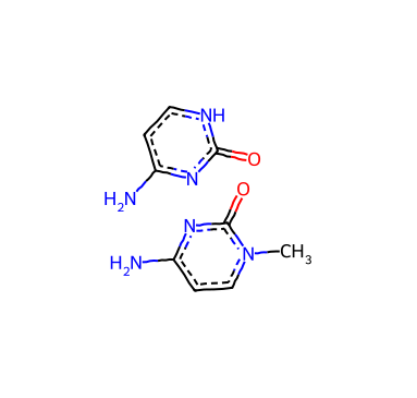 Cn1ccc(N)nc1=O.Nc1cc[nH]c(=O)n1